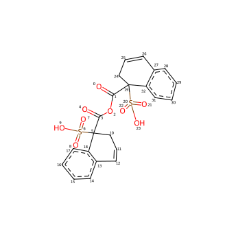 O=C(OC(=O)C1(S(=O)(=O)O)CC=Cc2ccccc21)C1(S(=O)(=O)O)CC=Cc2ccccc21